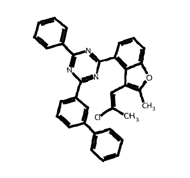 C/C(Cl)=C\c1c(C)oc2cccc(-c3nc(-c4ccccc4)nc(-c4cccc(-c5ccccc5)c4)n3)c12